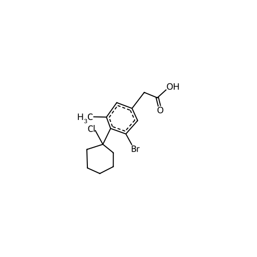 Cc1cc(CC(=O)O)cc(Br)c1C1(Cl)CCCCC1